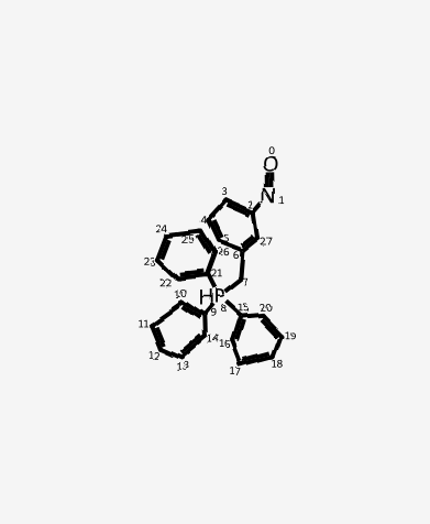 O=Nc1cccc(C[PH](c2ccccc2)(c2ccccc2)c2ccccc2)c1